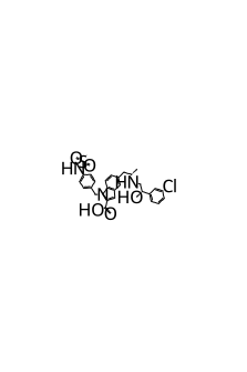 C[C@H](Cc1ccc2c(c1)cc(C(=O)O)n2Cc1ccc(NS(C)(=O)=O)cc1)NC[C@H](O)c1cccc(Cl)c1